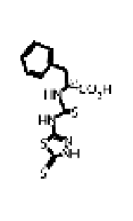 O=C(O)[C@H](Cc1ccccc1)NC(=S)Nc1n[nH]c(=S)s1